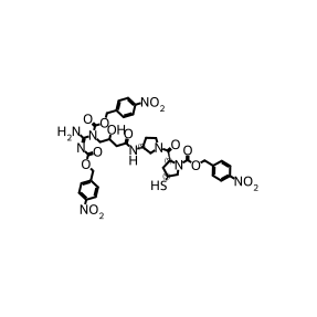 NC(=NC(=O)OCc1ccc([N+](=O)[O-])cc1)N(CC(O)CC(=O)N[C@H]1CCN(C(=O)[C@@H]2C[C@H](S)CN2C(=O)OCc2ccc([N+](=O)[O-])cc2)C1)C(=O)OCc1ccc([N+](=O)[O-])cc1